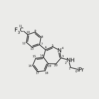 CC(C)CNC1=NC=C(c2ccc(C(F)(F)F)cc2)c2ccccc2C1